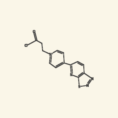 O=C(Cl)CC[n+]1ccc(-c2ccc3nnsc3n2)cc1